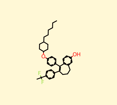 CCCCCCC1CCC(Oc2ccc(C3=C(c4ccc(C(C)(F)F)cc4)CCCc4cc(O)ccc43)cc2)CC1